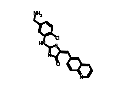 NCc1ccc(Cl)c(NC2=NC(=O)/C(=C\c3ccc4ncccc4c3)S2)c1